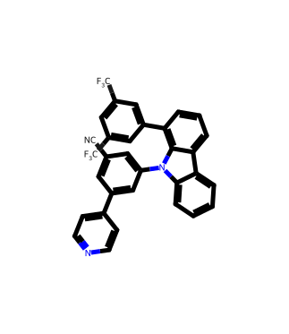 N#Cc1cc(-c2ccncc2)cc(-n2c3ccccc3c3cccc(-c4cc(C(F)(F)F)cc(C(F)(F)F)c4)c32)c1